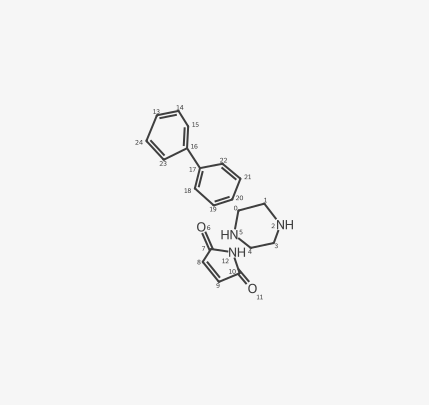 C1CNCCN1.O=C1C=CC(=O)N1.c1ccc(-c2ccccc2)cc1